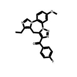 CCc1ncn2c1Cc1c(C(=O)c3ccc(F)cc3)nnn1-c1cc(OC)ccc1-2